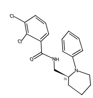 O=C(NC[C@@H]1CCCCN1c1ccccc1)c1cccc(Cl)c1Cl